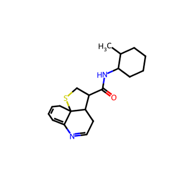 CC1CCCCC1NC(=O)C1CSC23CC=CC=C2N=CCC13